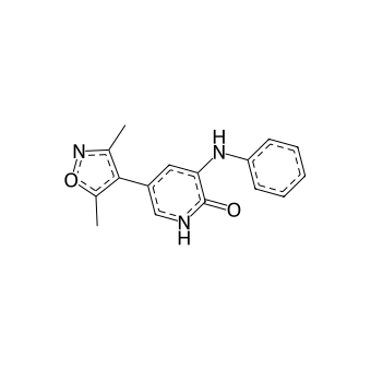 Cc1noc(C)c1-c1c[nH]c(=O)c(Nc2ccccc2)c1